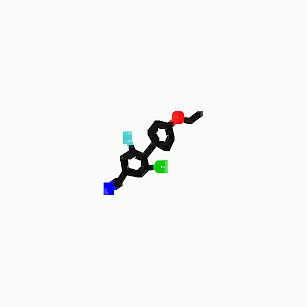 CCOc1ccc(-c2c(F)cc(C#N)cc2Cl)cc1